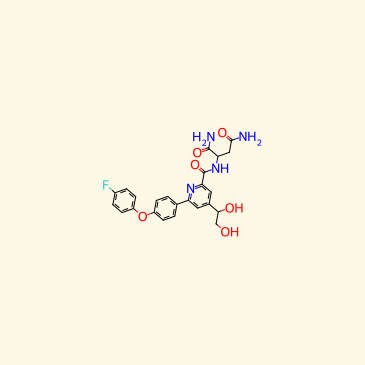 NC(=O)CC(NC(=O)c1cc(C(O)CO)cc(-c2ccc(Oc3ccc(F)cc3)cc2)n1)C(N)=O